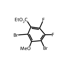 CCOC(=O)c1c(F)c(F)c(Br)c(OC)c1Br